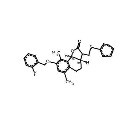 Cc1cc(OCc2ccccc2F)c(C)c2c1CC[C@H]1C(CSc3ccccc3)C(=O)O[C@@H]21